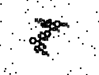 CCn1nccc1N(C=O)[C@H](C(=O)Nc1ccc([C@H](C)[C@@H](NS(=O)(=O)CC)C(=O)N2CCN(C)CC2)cc1F)C1CCCCC1